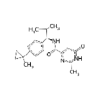 Cc1nc(C(=O)N[C@@H](c2ccc(C3(C)CC3)cc2)C(C)C)cc(=O)[nH]1